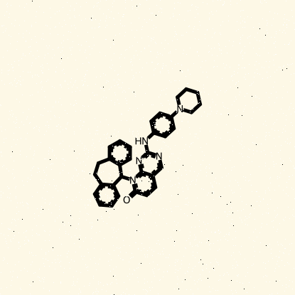 O=c1ccc2cnc(Nc3ccc(N4CCCCC4)cc3)nc2n1C1c2ccccc2CCc2ccccc21